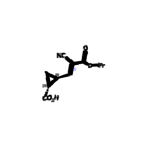 CC(C)OC(=O)/C(C#N)=C/[C@@H]1C[C@H]1C(=O)O